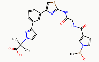 C[S+]([O-])n1ccc(C(=O)NCC(=O)Nc2nc(-c3cccc(-c4ccn(C(C)(C)C(=O)O)n4)c3)cs2)c1